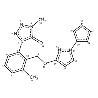 Cc1cccc(-n2nnn(C)c2=O)c1COc1ccn(-c2ccsc2)n1